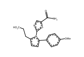 COc1ccc(-c2ccc(CCC(=O)O)n2-c2ncc(C(N)=O)s2)cc1